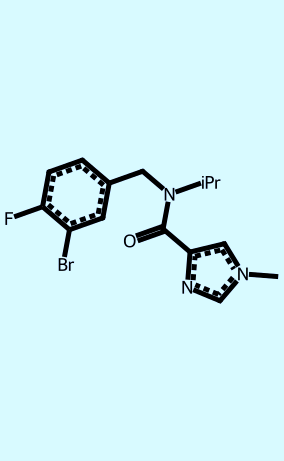 CC(C)N(Cc1ccc(F)c(Br)c1)C(=O)c1cn(C)cn1